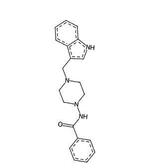 O=C(NN1CCN(Cc2c[nH]c3ccccc23)CC1)c1ccccc1